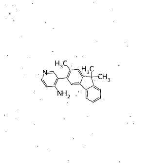 Cc1cc2c(cc1-c1cnccc1N)-c1ccccc1C2(C)C